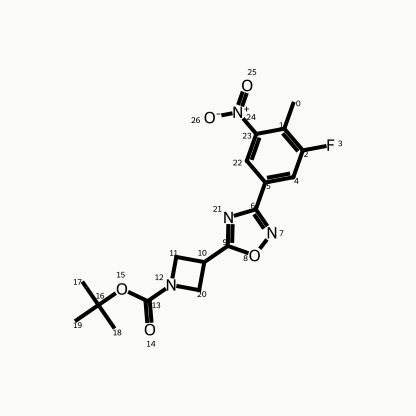 Cc1c(F)cc(-c2noc(C3CN(C(=O)OC(C)(C)C)C3)n2)cc1[N+](=O)[O-]